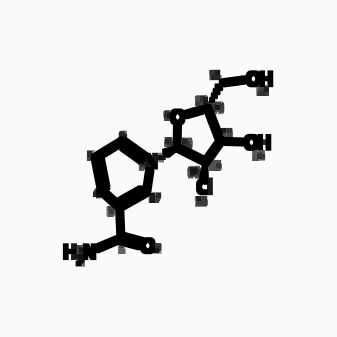 NC(=O)c1ccc[n+]([C@H]2O[C@H](CO)C(O)[C@H]2Cl)c1